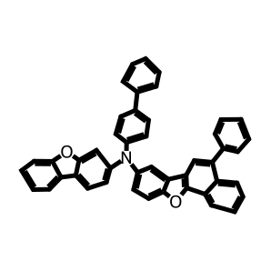 c1ccc(-c2ccc(N(c3ccc4c(c3)oc3ccccc34)c3ccc4oc5c6ccccc6c(-c6ccccc6)cc5c4c3)cc2)cc1